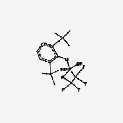 CC(C)(C)c1cccc(C(C)(C)C)c1OP(O)(O)(F)C(F)(F)C(F)(F)F